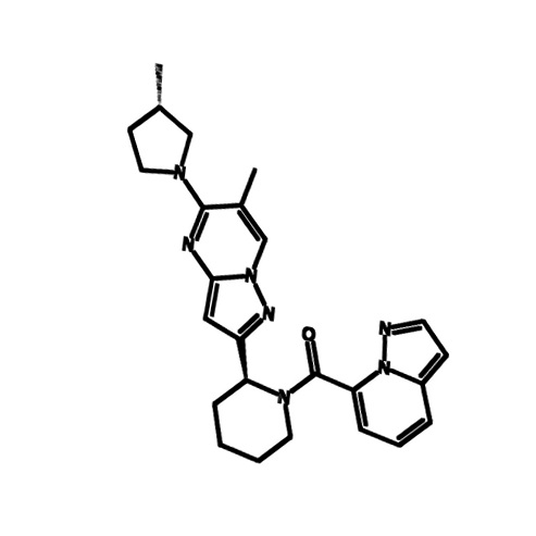 Cc1cn2nc([C@@H]3CCCCN3C(=O)c3cccc4ccnn34)cc2nc1N1CC[C@H](C)C1